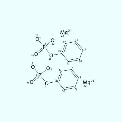 O=P([O-])([O-])Oc1ccccc1.O=P([O-])([O-])Oc1ccccc1.[Mg+2].[Mg+2]